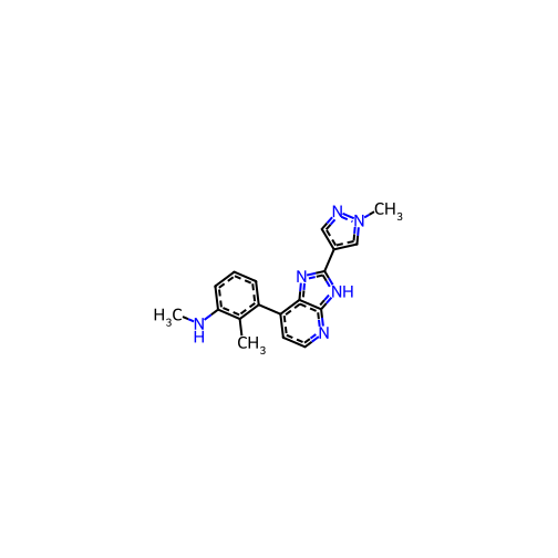 CNc1cccc(-c2ccnc3[nH]c(-c4cnn(C)c4)nc23)c1C